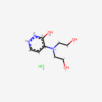 Cl.OCCN(CCO)c1ccnnc1O